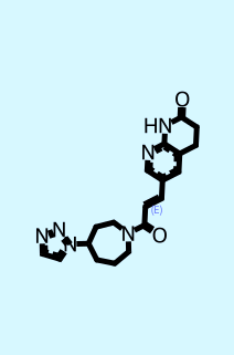 O=C1CCc2cc(/C=C/C(=O)N3CCCC(n4ccnn4)CC3)cnc2N1